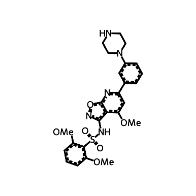 COc1cccc(OC)c1S(=O)(=O)Nc1noc2nc(-c3cccc(N4CCNCC4)c3)cc(OC)c12